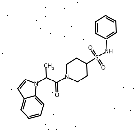 CC(C(=O)N1CCC(S(=O)(=O)Nc2ccccc2)CC1)n1ccc2ccccc21